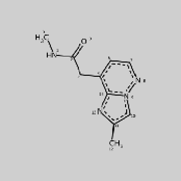 CNC(=O)Cc1ccnn2cc(C)nc12